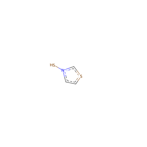 S[n+]1ccsc1